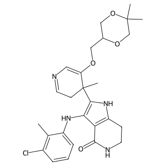 Cc1c(Cl)cccc1Nc1c(C2(C)CC=NC=C2OCC2COC(C)(C)CO2)[nH]c2c1C(=O)NCC2